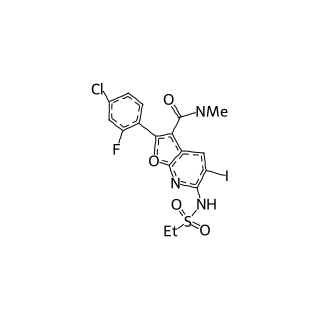 CCS(=O)(=O)Nc1nc2oc(-c3ccc(Cl)cc3F)c(C(=O)NC)c2cc1I